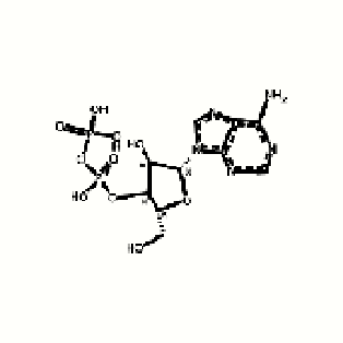 Nc1ncnc2c1ncn2[C@@H]1O[C@H](CO)[C@@H](OP(=O)(O)OP(=O)(O)O)[C@H]1O